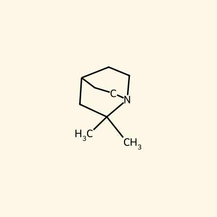 CC1(C)CC2CCN1CC2